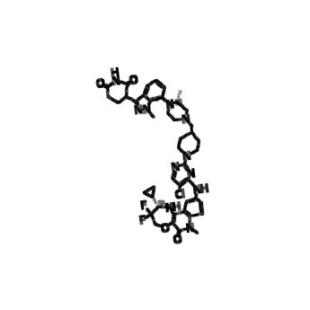 C[C@@H]1CN(CC2CCN(c3ncc(Cl)c(Nc4ccc5c(c4)c4c(c(=O)n5C)OCC(F)(F)[C@H](C5CC5)N4)n3)CC2)CCN1c1cccc2c(C3CCC(=O)NC3=O)nn(C)c12